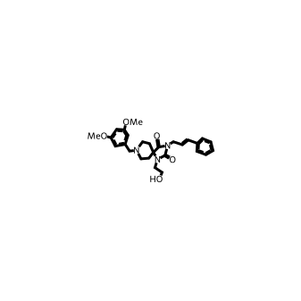 COc1cc(CN2CCC3(CC2)C(=O)N(C/C=C/c2ccccc2)C(=O)N3CCO)cc(OC)c1